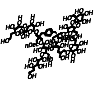 CCCCCCCCCCCC(CO[C@@H]1OC(CO)[C@@H](O[C@@H](O)/C(O)=C(/O)[C@H](O)CCO)C(O)C1O)(CO[C@H](O)/C(O)=C(\O)[C@@H](CCO)O[C@@H](O)/C(O)=C(\O)[C@H](O)CCO)Cc1ccc(C[C@@](CCCCCCCCCCC)(CO[C@@H]2OC(CO)[C@@H](O[C@H]3OC(CO)[C@@H](O)C(O)C3O)C(O)C2O)CO[C@H](O)/C(O)=C(\O)CC(CO)CO[C@H]2OC(CO)[C@@H](O)C(O)C2O)cc1